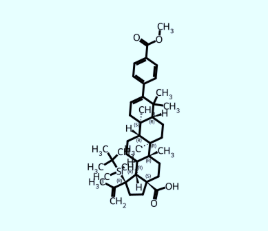 C=C(C)[C@@]1([Si](C)(C)C(C)(C)C)CC[C@@]2(C(=O)O)CC[C@]3(C)[C@H](CC[C@@H]4[C@@]5(C)CC=C(c6ccc(C(=O)OC)cc6)C(C)(C)[C@@H]5CC[C@]43C)[C@H]21